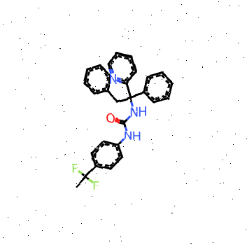 CC(F)(F)c1ccc(NC(=O)NC(Cc2ccccc2)(c2ccccc2)c2ccccn2)cc1